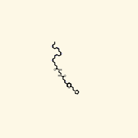 CC/C=C\C/C=C\C/C=C\C/C=C\C/C=C\CCCC(=O)NCCNC(=O)C/C=C/c1ccc(CCN2CCCC2)nc1